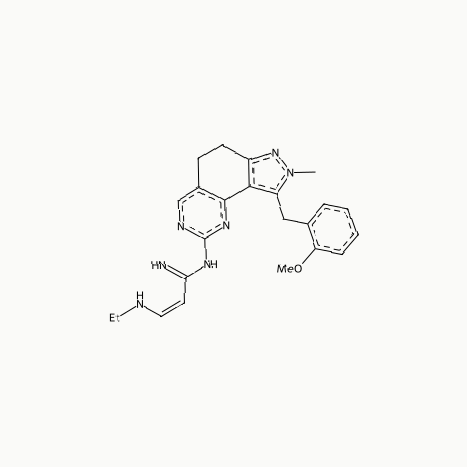 CCN/C=C\C(=N)Nc1ncc2c(n1)-c1c(nn(C)c1Cc1ccccc1OC)CC2